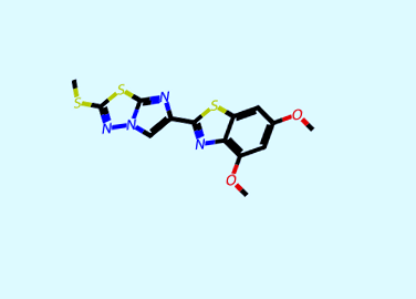 COc1cc(OC)c2nc(-c3cn4nc(SC)sc4n3)sc2c1